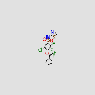 O=S(=O)(Nc1nccs1)c1cc(Cl)c(O[C@H](c2ccccc2)C(F)(F)F)cc1F